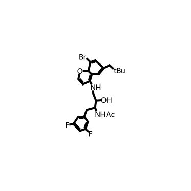 CC(=O)NC(Cc1cc(F)cc(F)c1)C(O)CNC1=C2C=C(CC(C)(C)C)C=C(Br)C2OC=C1